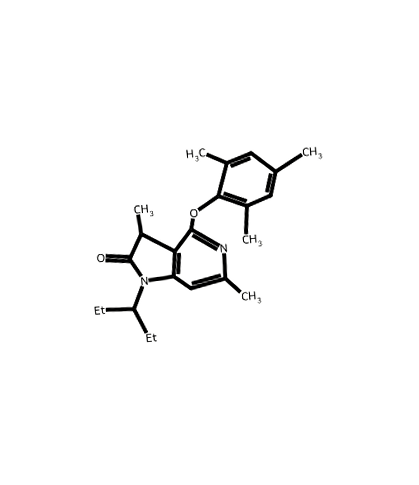 CCC(CC)N1C(=O)C(C)c2c1cc(C)nc2Oc1c(C)cc(C)cc1C